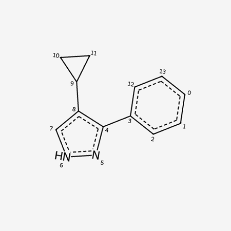 c1ccc(-c2n[nH]cc2C2CC2)cc1